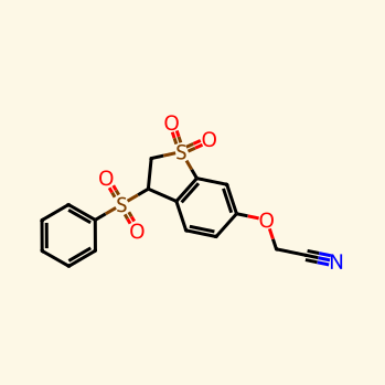 N#CCOc1ccc2c(c1)S(=O)(=O)CC2S(=O)(=O)c1ccccc1